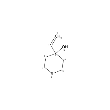 C=CC1(O)CCSCC1